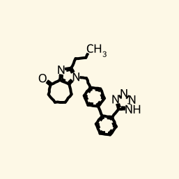 CCCc1nc2c(n1Cc1ccc(-c3ccccc3-c3nnn[nH]3)cc1)CCCCC2=O